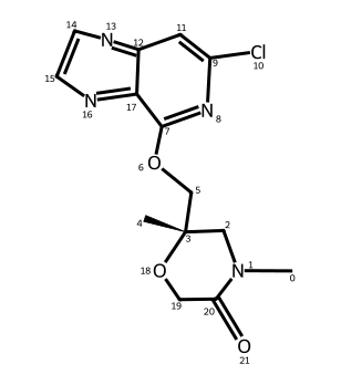 CN1C[C@@](C)(COc2nc(Cl)cc3nccnc23)OCC1=O